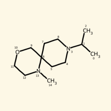 CC(C)N1CCC2(CC1)COCCN2C